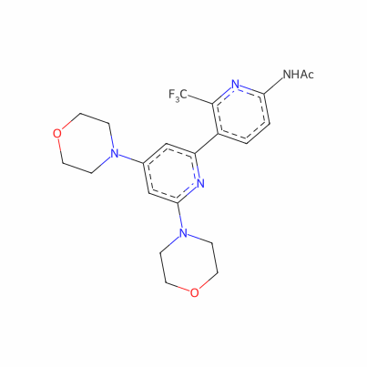 CC(=O)Nc1ccc(-c2cc(N3CCOCC3)cc(N3CCOCC3)n2)c(C(F)(F)F)n1